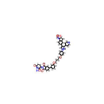 O=C1CCC(N2C(=O)c3ccc(-c4cccc(OCCCCOc5ccc(-n6cc(-c7ccc8c(c7)CC/C8=N\O)c(-c7ccncc7)n6)cc5)c4)cc3C2=O)C(=O)N1